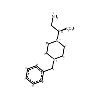 NC[C@@H](C(=O)O)N1CCN(Cc2ccccc2)CC1